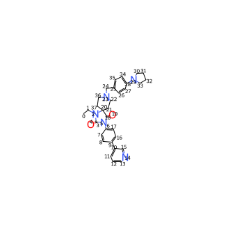 CCN1C(=O)N(c2ccc(-c3cccnc3)cc2)C(=O)C12CCN(Cc1ccc(N3CCCC3)cc1)CC2